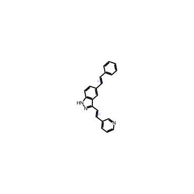 C(=C\c1ccc2[nH]nc(/C=C/c3cccnc3)c2c1)/c1ccccc1